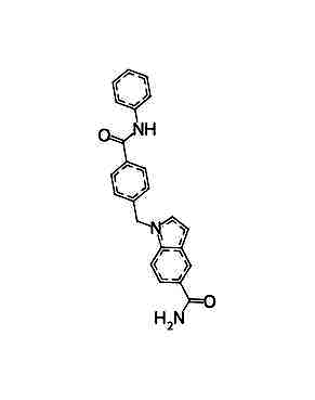 NC(=O)c1ccc2c(ccn2Cc2ccc(C(=O)Nc3ccccc3)cc2)c1